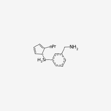 CCCC1=CC=C[C]1[SiH2]c1cccc(CN)c1